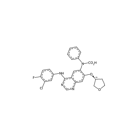 O=C(O)N(c1ccccc1)c1cc2c(Nc3ccc(F)c(Cl)c3)ncnc2cc1O[C@H]1CCOC1